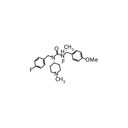 COc1ccc([C@@H](C)NC(=O)N(Cc2ccc(F)cc2)[C@H]2CCN(C)C[C@H]2F)cc1